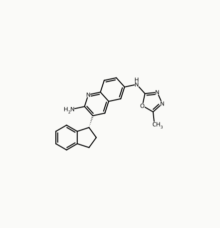 Cc1nnc(Nc2ccc3nc(N)c([C@@H]4CCc5ccccc54)cc3c2)o1